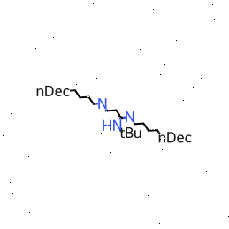 CCCCCCCCCCCCCCN=CCC(=NCCCCCCCCCCCCCC)NC(C)(C)C